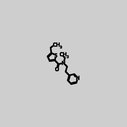 CCc1ccc(C(=O)N(CC)CCc2cccnc2)s1